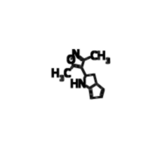 Cc1noc(C)c1C1CC2C=CC=C2N1